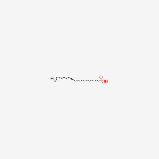 CCCCCCC#CCCCCCCCCCCCC(=O)O